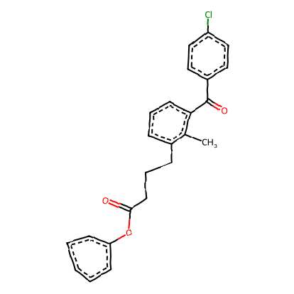 Cc1c(CCCC(=O)Oc2ccccc2)cccc1C(=O)c1ccc(Cl)cc1